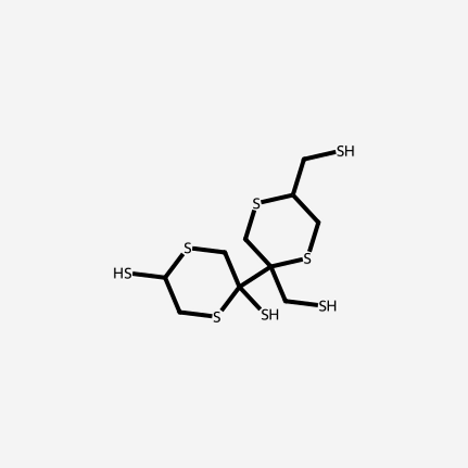 SCC1CSC(CS)(C2(S)CSC(S)CS2)CS1